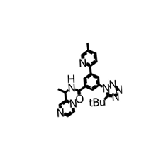 Cc1ccc(-c2cc(C(=O)NC(C)c3cnccn3)cc(-n3nnnc3C(C)(C)C)c2)nc1